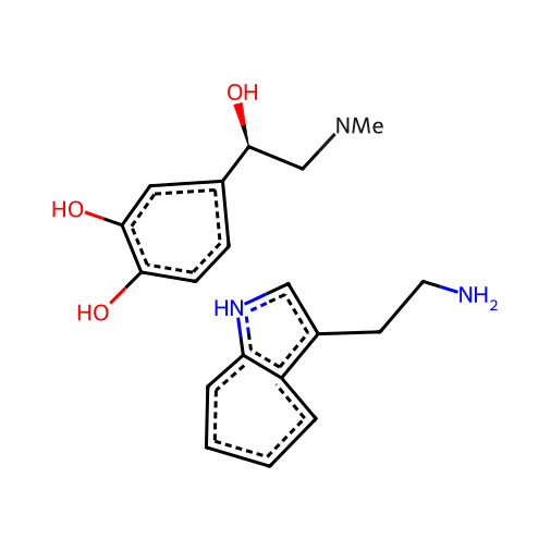 CNC[C@H](O)c1ccc(O)c(O)c1.NCCc1c[nH]c2ccccc12